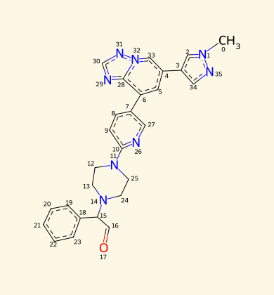 Cn1cc(-c2cc(-c3ccc(N4CCN(C(C=O)c5ccccc5)CC4)nc3)c3ncnn3c2)cn1